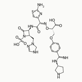 N=C(N[C@H]1CCNC1)c1ccc(OC[C@H](O/N=C(\C(=O)N[C@@H]2C(=O)N(S(=O)(=O)O)[C@@H]2CN2CNC=N2)c2csc(N)n2)C(=O)O)cc1